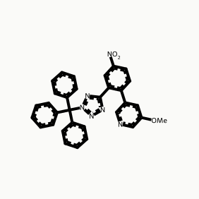 COc1cncc(-c2ccc([N+](=O)[O-])cc2-c2nnn(C(c3ccccc3)(c3ccccc3)c3ccccc3)n2)c1